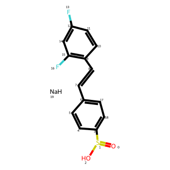 O=S(O)c1ccc(C=Cc2ccc(F)cc2F)cc1.[NaH]